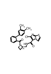 Cc1ccc(-c2ccccc2C(=O)N2CC[C@@H]2CNC(=O)c2c(Cl)nc3sccn23)cc1C